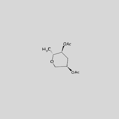 CC(=O)O[C@H]1CO[C@H](C)[C@@H](OC(C)=O)C1